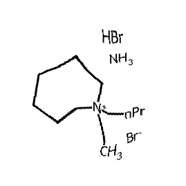 Br.CCC[N+]1(C)CCCCC1.N.[Br-]